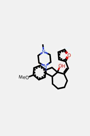 COc1ccc(CC2(O)/C(=C\c3ccco3)CCCCC2CN2CCN(C)CC2)cc1